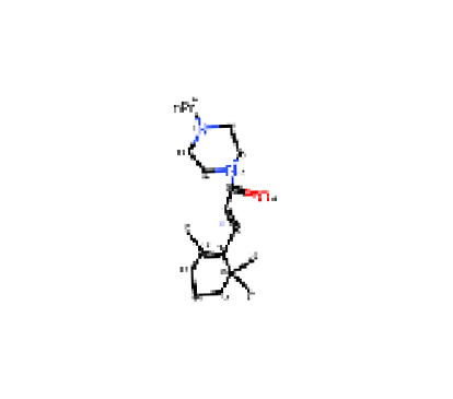 CCCN1CCN(C(=O)/C=C/C2=C(C)CCCC2(C)C)CC1